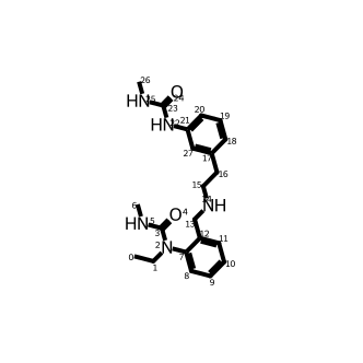 CCN(C(=O)NC)c1ccccc1CNCCc1cccc(NC(=O)NC)c1